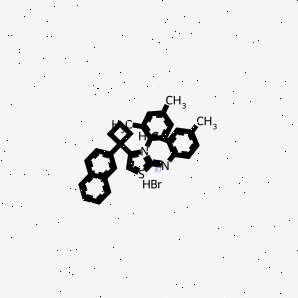 Br.Cc1ccc(/N=c2/scc(C3(c4ccc5ccccc5c4)CCC3)n2-c2ccc(C)cc2C)c(C)c1